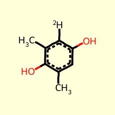 [2H]c1c(O)cc(C)c(O)c1C